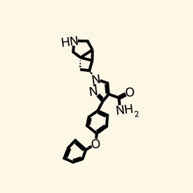 NC(=O)c1cn([C@@H]2C[C@]34CNCC3C24)nc1-c1ccc(Oc2ccccc2)cc1